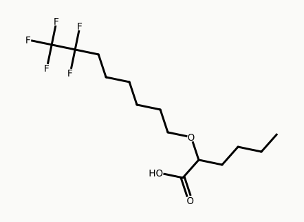 CCCCC(OCCCCCCC(F)(F)C(F)(F)F)C(=O)O